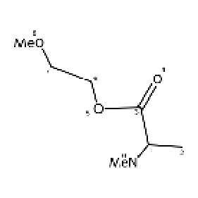 CNC(C)C(=O)OCCOC